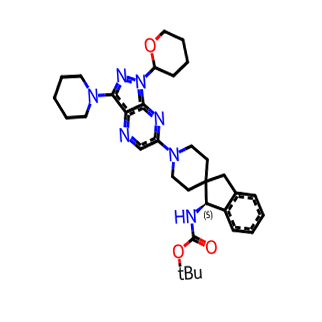 CC(C)(C)OC(=O)N[C@@H]1c2ccccc2CC12CCN(c1cnc3c(N4CCCCC4)nn(C4CCCCO4)c3n1)CC2